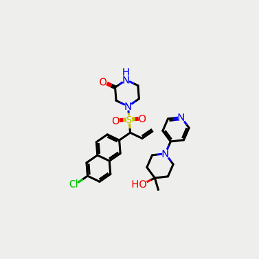 C=CC(c1ccc2cc(Cl)ccc2c1)S(=O)(=O)N1CCNC(=O)C1.CC1(O)CCN(c2ccncc2)CC1